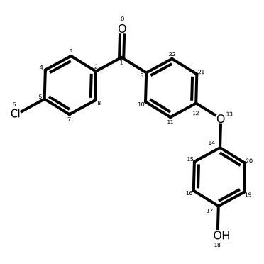 O=C(c1ccc(Cl)cc1)c1ccc(Oc2ccc(O)cc2)cc1